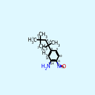 CC(C)(C)CC(C)(C)c1ccc(N=O)c(N)c1